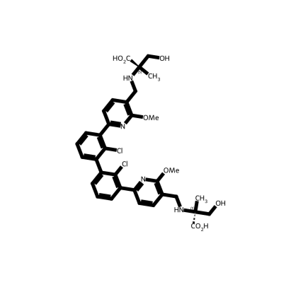 COc1nc(-c2cccc(-c3cccc(-c4ccc(CN[C@@](C)(CO)C(=O)O)c(OC)n4)c3Cl)c2Cl)ccc1CN[C@@](C)(CO)C(=O)O